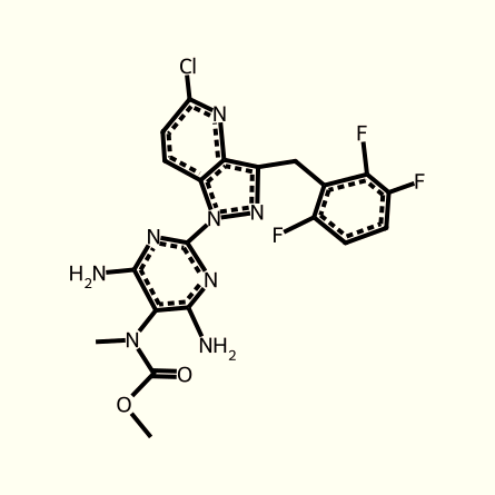 COC(=O)N(C)c1c(N)nc(-n2nc(Cc3c(F)ccc(F)c3F)c3nc(Cl)ccc32)nc1N